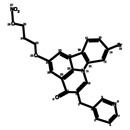 O=c1c(Cc2cccnc2)cn2c3cc(Br)ccc3c3cc(OCCCO[N+](=O)[O-])cc1c32